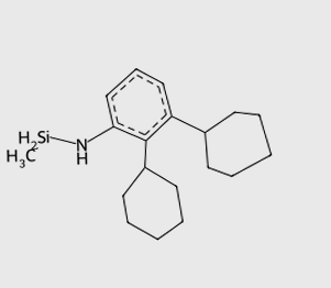 C[SiH2]Nc1cccc(C2CCCCC2)c1C1CCCCC1